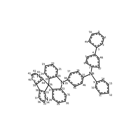 c1ccc(-c2ccc(N(c3ccccc3)c3ccc(N4c5ccccc5C5(c6ccccc64)c4ncccc4-c4cccnc45)cc3)cc2)cc1